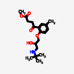 COC(=O)CCC(=O)c1cc(C)ccc1OCC(O)CNC(C)(C)C